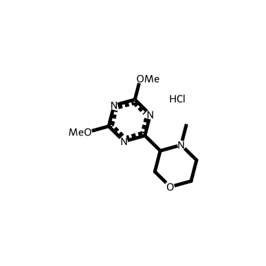 COc1nc(OC)nc(C2COCCN2C)n1.Cl